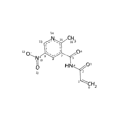 C=CC(=O)NC(=O)c1cc([N+](=O)[O-])cnc1C